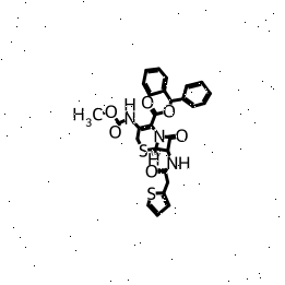 COC(=O)NC1=C(C(=O)OC(c2ccccc2)c2ccccc2)N2C(=O)C(NC(=O)Cc3cccs3)[C@@H]2SC1